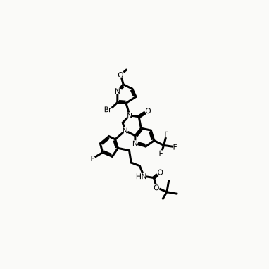 COc1ccc(N2CN(c3ccc(F)cc3CCCNC(=O)OC(C)(C)C)c3ncc(C(F)(F)F)cc3C2=O)c(Br)n1